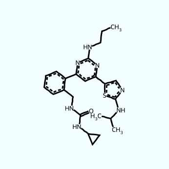 CCCNc1nc(-c2cnc(NC(C)C)s2)cc(-c2ccccc2CNC(=O)NC2CC2)n1